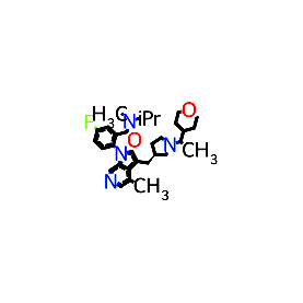 Cc1cncc2c1c(C[C@H]1CCN(C(C)C3CCOCC3)C1)cn2-c1ccc(F)cc1C(=O)N(C)C(C)C